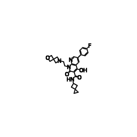 O=C(NC1CC2(CC2)C1)c1c(O)c2cc(-c3ccc(F)cc3)cnc2n(CCN2CC3(COC3)C2)c1=O